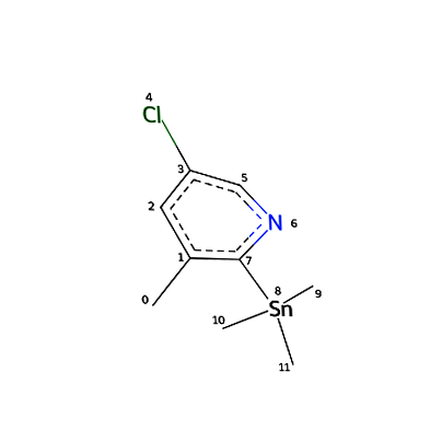 Cc1cc(Cl)cn[c]1[Sn]([CH3])([CH3])[CH3]